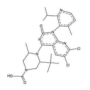 Cc1ccnc(C(C)C)c1-n1c(=O)nc(N2C(C)CN(C(=O)O)CC2C(C)(C)C)c2cc(Cl)c(Cl)nc21